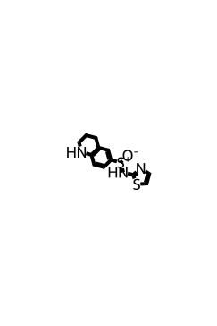 [O-][S+](Nc1nccs1)c1ccc2c(c1)CCCN2